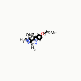 COCCOc1ccc2[nH]c(-c3c(C)nn(C)c3C)c(C=O)c2c1